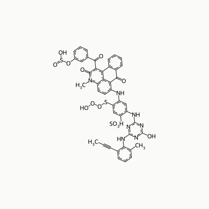 CC#Cc1cccc(C)c1Nc1nc(O)nc(Nc2cc(Nc3ccc4c5c3C(=O)c3ccccc3-c5c(C(=O)c3cccc(OS(=O)O)c3)c(=O)n4C)c(SOOO)cc2S(=O)(=O)O)n1